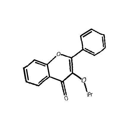 CC(C)Oc1c(-c2ccccc2)oc2ccccc2c1=O